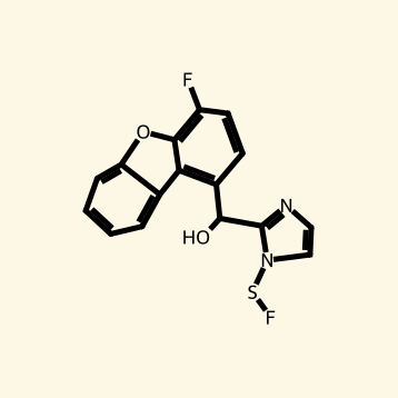 OC(c1ccc(F)c2oc3ccccc3c12)c1nccn1SF